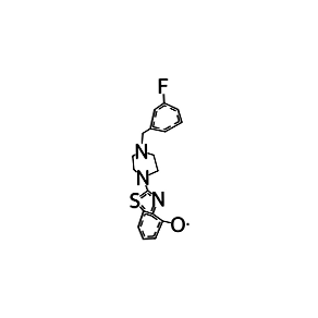 [O]c1cccc2sc(N3CCN(Cc4cccc(F)c4)CC3)nc12